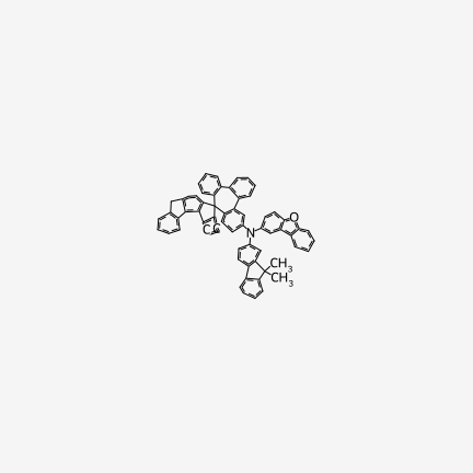 CC1(C)c2ccccc2-c2ccc(N(c3ccc4c(c3)-c3ccccc3-c3ccccc3C43c4ccccc4-c4c3ccc3c4-c4ccccc4C3)c3ccc4oc5ccccc5c4c3)cc21